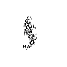 Cc1c(-c2cnc3c(Nc4ccc(C(=O)N5CCC(CN)CC5)c(Cl)c4)nccn23)ccc(OCC#N)c1F